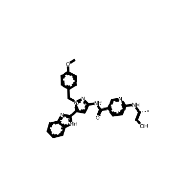 COc1ccc(Cn2nc(NC(=O)c3ccc(N[C@H](C)CO)nc3)cc2-c2nc3ccccc3[nH]2)cc1